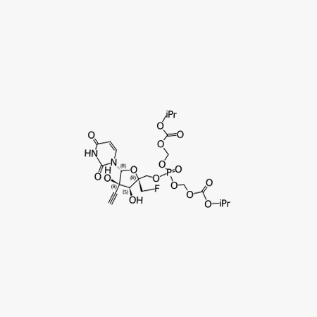 C#C[C@@]1(O)[C@H](O)[C@@](CF)(COP(=O)(OCOC(=O)OC(C)C)OCOC(=O)OC(C)C)O[C@H]1n1ccc(=O)[nH]c1=O